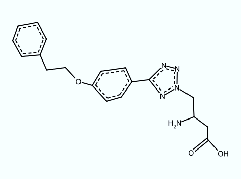 NC(CC(=O)O)Cn1nnc(-c2ccc(OCCc3ccccc3)cc2)n1